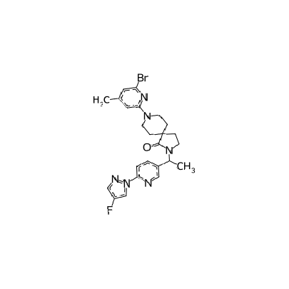 Cc1cc(Br)nc(N2CCC3(CC2)CCN(C(C)c2ccc(-n4cc(F)cn4)nc2)C3=O)c1